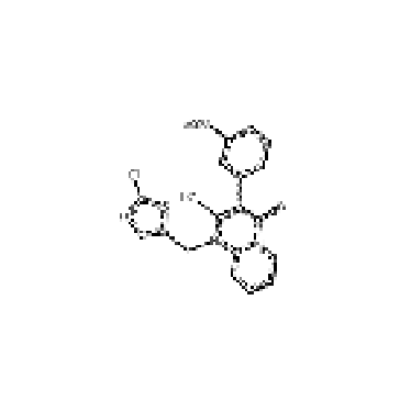 COc1cccc(-c2c(O)n(Cc3cnc(Cl)s3)c3cccc[n+]3c2=O)c1